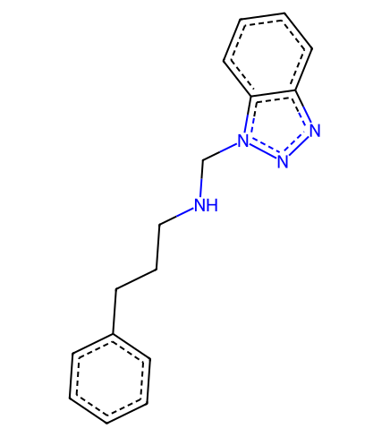 c1ccc(CCCNCn2nnc3ccccc32)cc1